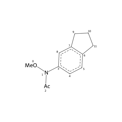 CON(C(C)=O)c1ccc2c(c1)CCC2